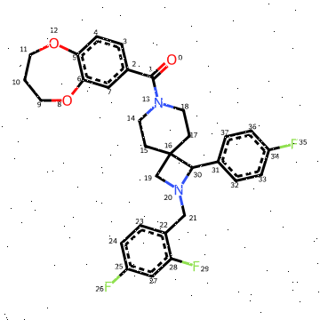 O=C(c1ccc2c(c1)OCCCO2)N1CCC2(CC1)CN(Cc1ccc(F)cc1F)C2c1ccc(F)cc1